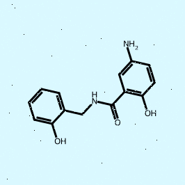 Nc1ccc(O)c(C(=O)NCc2ccccc2O)c1